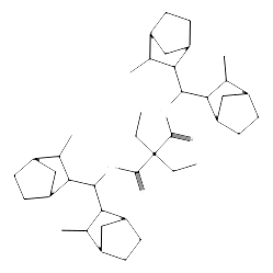 CCC(CC)(C(=O)OC(C1C2CCC(C2)C1C)C1C2CCC(C2)C1C)C(=O)OC(C1C2CCC(C2)C1C)C1C2CCC(C2)C1C